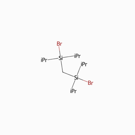 CC(C)[Si](Br)(C[Si](Br)(C(C)C)C(C)C)C(C)C